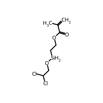 C=C(C)C(=O)OCC[SiH2]OCC(Cl)Cl